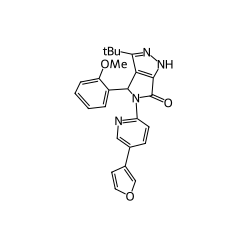 COc1ccccc1C1c2c(C(C)(C)C)n[nH]c2C(=O)N1c1ccc(-c2ccoc2)cn1